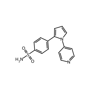 NS(=O)(=O)c1ccc(-c2cccn2-c2ccncc2)cc1